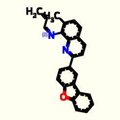 C=C/C=N\c1c(C)ccc2ccc(-c3ccc4oc5ccccc5c4c3)nc12